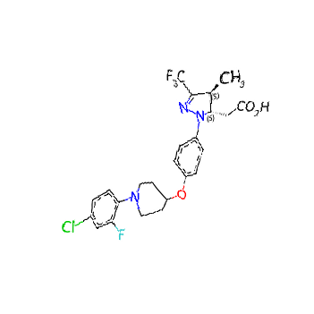 C[C@@H]1C(C(F)(F)F)=NN(c2ccc(OC3CCN(c4ccc(Cl)cc4F)CC3)cc2)[C@H]1CC(=O)O